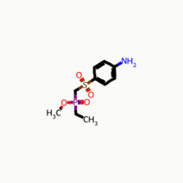 CCP(=O)(CS(=O)(=O)c1ccc(N)cc1)OC